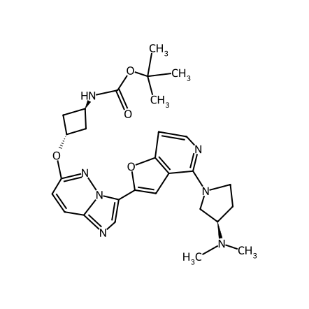 CN(C)[C@@H]1CCN(c2nccc3oc(-c4cnc5ccc(O[C@H]6C[C@H](NC(=O)OC(C)(C)C)C6)nn45)cc23)C1